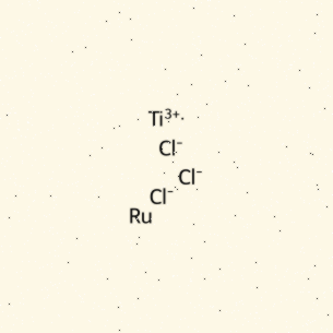 [Cl-].[Cl-].[Cl-].[Ru].[Ti+3]